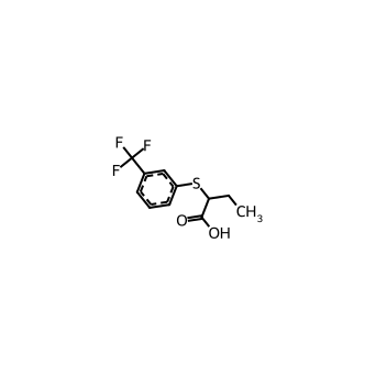 CCC(Sc1cccc(C(F)(F)F)c1)C(=O)O